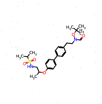 CC(CNS(=O)(=O)C(C)C)Oc1ccc(-c2ccc(CCN(C=O)OC(C)(C)C)cc2)cc1